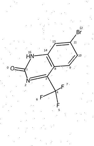 O=c1nc(C(F)(F)F)c2ccc(Br)cc2[nH]1